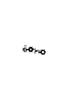 O=C(NCC1CCCCC1)Oc1ccc(-c2nnn[nH]2)cc1